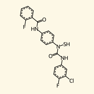 O=C(Nc1ccc(N(S)C(=O)Nc2ccc(F)c(Cl)c2)cc1)c1ccccc1F